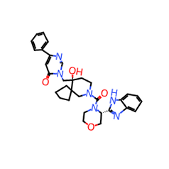 O=C(N1CC[C@@](O)(Cn2cnc(-c3ccccc3)cc2=O)C2(CCCC2)C1)N1CCOC[C@H]1c1nc2ccccc2[nH]1